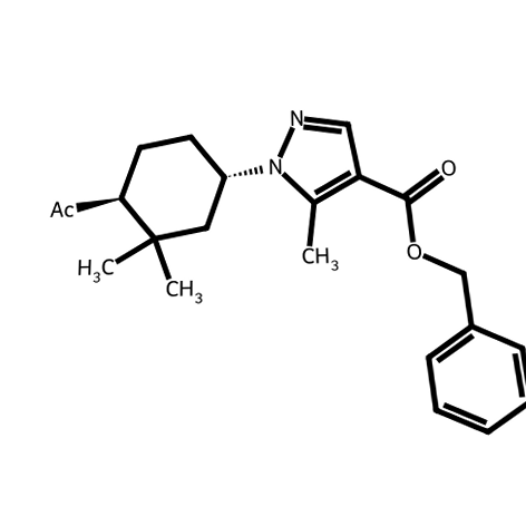 CC(=O)[C@H]1CC[C@H](n2ncc(C(=O)OCc3ccccc3)c2C)CC1(C)C